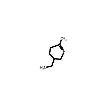 CC1=NCC(CN)CC1